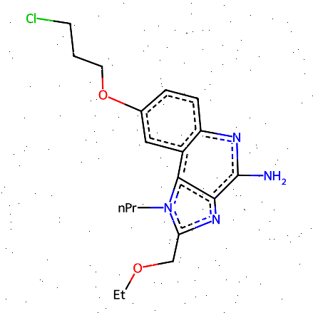 CCCn1c(COCC)nc2c(N)nc3ccc(OCCCCl)cc3c21